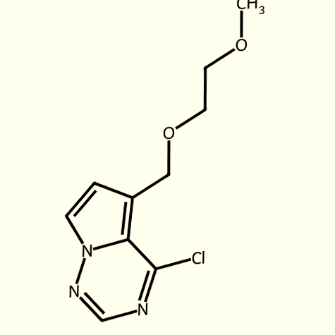 COCCOCc1ccn2ncnc(Cl)c12